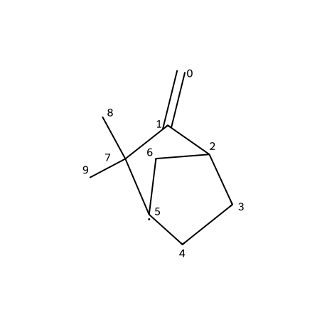 C=C1C2CC[C](C2)C1(C)C